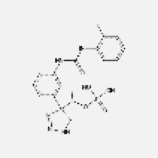 Cc1ccccc1NC(=O)Nc1cccc(C2(C(C)OP(=O)(O)O)CNN=N2)c1